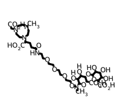 CN1CCN(CC(=O)O)CCN(C(CCC(=O)NCCOCCOCCOCCON(C)C2OC(C(=O)O)C(OC3OC(C(=O)O)C(O)C(O)C3O)C(O)C2O)C(=O)O)CC1